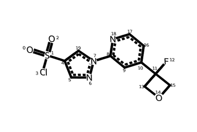 O=S(=O)(Cl)c1cnn(-c2cc(C3(F)COC3)ccn2)c1